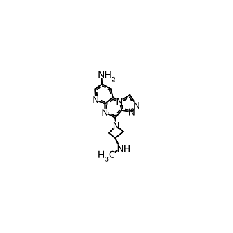 CNC1CN(c2nc3ncc(N)cc3n3cnnc23)C1